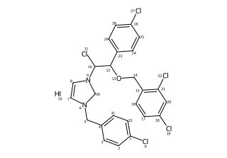 Clc1ccc(CN2C=CN(C(Cl)C(OCc3ccc(Cl)cc3Cl)c3ccc(Cl)cc3)C2)cc1.I